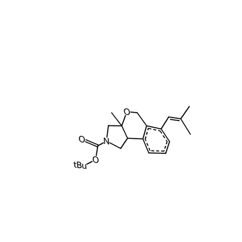 CC(C)=Cc1cccc2c1COC1(C)CN(C(=O)OC(C)(C)C)CC21